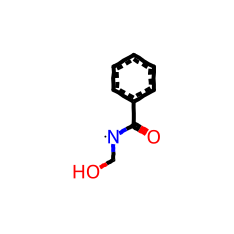 O=C([N]CO)c1ccccc1